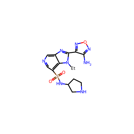 CCn1c(-c2nonc2N)nc2cncc(S(=O)(=O)NC3CCNC3)c21